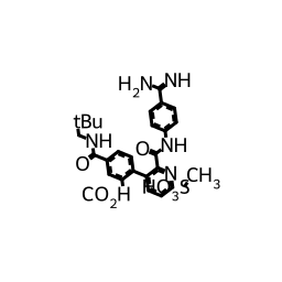 CC(C)(C)CNC(=O)c1ccc(-c2cccnc2C(=O)Nc2ccc(C(=N)N)cc2)c(C(=O)O)c1.CS(=O)(=O)O